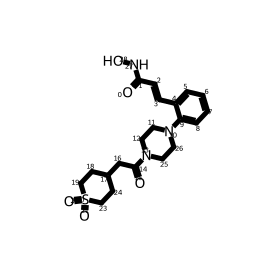 O=C(C=Cc1ccccc1N1CCN(C(=O)CC2CCS(=O)(=O)CC2)CC1)NO